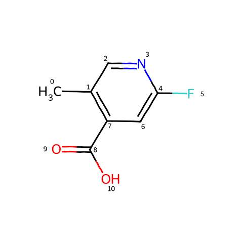 Cc1cnc(F)cc1C(=O)O